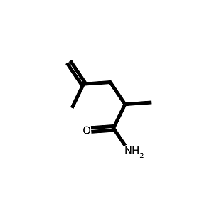 C=C(C)CC(C)C(N)=O